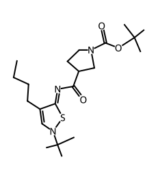 CCCCc1cn(C(C)(C)C)sc1=NC(=O)C1CCN(C(=O)OC(C)(C)C)C1